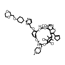 Cc1c(Cl)c2c(Cl)c(C)c1-c1c(C3=CCCC3)sc3ncnc(c13)O[C@@H](C(=O)O)Cc1cc(ccc1OCc1ccnc([C@H]3CC[C@H](OCC4COCCO4)CC3)n1)OC[C@@H](CN1CCN(C)CC1)O2